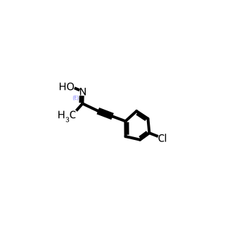 C/C(C#Cc1ccc(Cl)cc1)=N\O